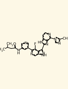 Cc1cn(-c2nccc3[nH]c(-c4n[nH]c5cnc(-c6cncc(NC(=O)CC(C)C)c6)c(F)c45)nc23)cn1